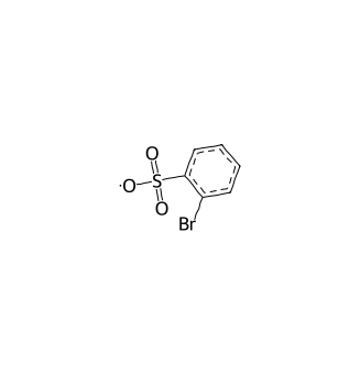 [O]S(=O)(=O)c1ccccc1Br